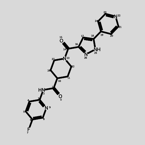 O=C(Nc1ccc(F)cn1)C1CCN(C(=O)c2cc(-c3ccncc3)[nH]n2)CC1